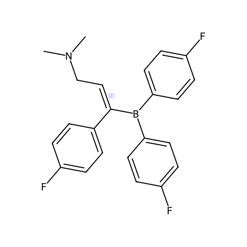 CN(C)C/C=C(/B(c1ccc(F)cc1)c1ccc(F)cc1)c1ccc(F)cc1